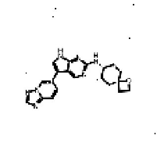 c1nc2ccc(-c3c[nH]c4nc(N[C@H]5CC[C@@]6(CCO6)CC5)ncc34)cn2n1